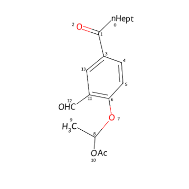 CCCCCCCC(=O)c1ccc(OC(C)OC(C)=O)c(C=O)c1